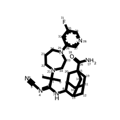 CC(C)(/C(=N\C#N)NC1C2CC3CC1CC(C(N)=O)(C3)C2)N1CCCN(c2cncc(F)c2)CC1